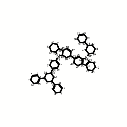 C1=CC(C2CC(C3=CCCC=C3)CC(C3=CC=C(N4C5CC(C6=Cc7c(c8c(n7C7CCCC(C9CC=CCC9)C7)CCCC8)CC6)C=CC5C5CCCCC54)CC3)C2)=CCC1